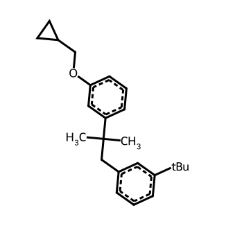 CC(C)(C)c1cccc(CC(C)(C)c2cccc(OCC3CC3)c2)c1